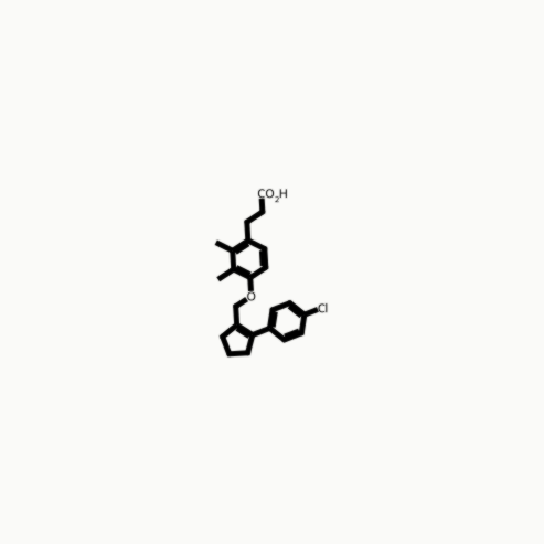 Cc1c(CCC(=O)O)ccc(OCC2=C(c3ccc(Cl)cc3)CCC2)c1C